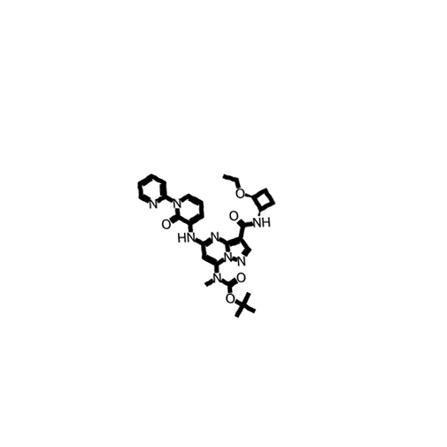 CCO[C@H]1CC[C@@H]1NC(=O)c1cnn2c(N(C)C(=O)OC(C)(C)C)cc(Nc3cccn(-c4ccccn4)c3=O)nc12